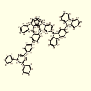 c1ccc(-c2nc(-c3ccccc3)nc(-c3ccc(-c4ccc(-n5c6ccccc6c6ccc(-n7c8ccccc8c8ccc(-n9c%10ccccc%10c%10ccccc%109)cc87)cc65)c(-n5c6ccccc6c6ccccc65)c4)cc3)n2)cc1